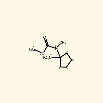 CN(C(=O)OC(C)(C)C)C1(C(=O)O)CCCC1